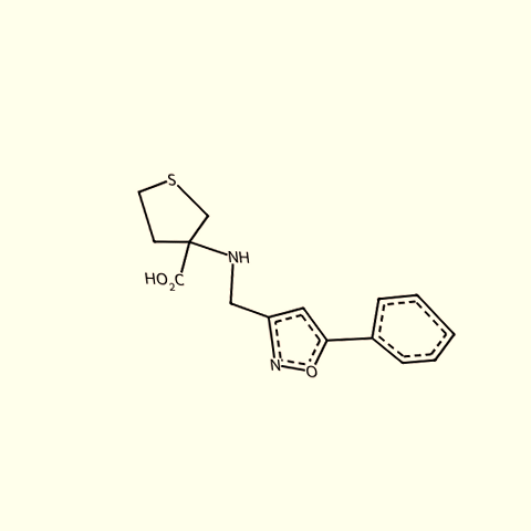 O=C(O)C1(NCc2cc(-c3ccccc3)on2)CCSC1